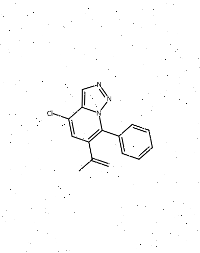 C=C(C)c1cc(Cl)c2cnnn2c1-c1ccccc1